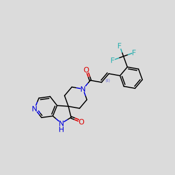 O=C(/C=C/c1ccccc1C(F)(F)F)N1CCC2(CC1)C(=O)Nc1cnccc12